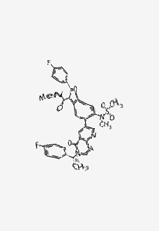 CNC(=O)c1c(-c2ccc(F)cc2)oc2cc(N(C)S(C)(=O)=O)c(-c3cnc4ncn([C@H](C)c5ccc(F)cc5)c(=O)c4c3)cc12